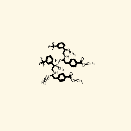 COC(=O)c1ccc(CC(C)NCC(OC)c2cccc(C(F)(F)F)c2)cc1.COC(=O)c1ccc(CC(C)NCC(OC)c2cccc(C(F)(F)F)c2)cc1.Cl.Cl.O